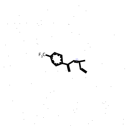 C=C/C(C)=C\C(=C)c1ccc(C(F)(F)F)cc1